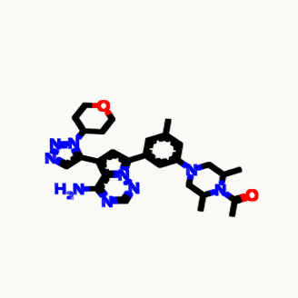 CC(=O)N1C(C)CN(c2cc(C)cc(-c3cc(-c4cnnn4C4CCOCC4)c4c(N)ncnn34)c2)CC1C